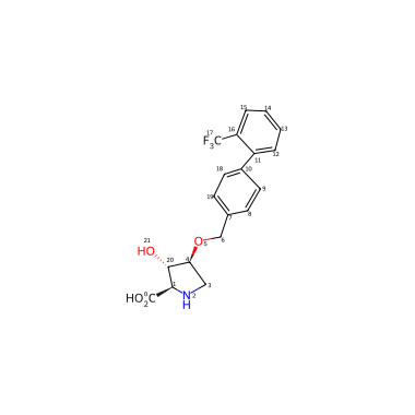 O=C(O)[C@@H]1NC[C@H](OCc2ccc(-c3ccccc3C(F)(F)F)cc2)[C@H]1O